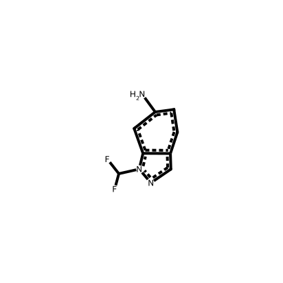 Nc1ccc2cnn(C(F)F)c2c1